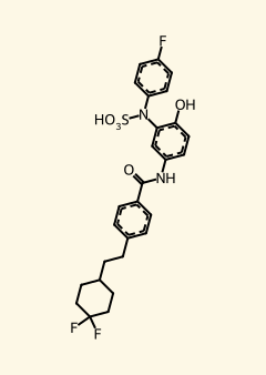 O=C(Nc1ccc(O)c(N(c2ccc(F)cc2)S(=O)(=O)O)c1)c1ccc(CCC2CCC(F)(F)CC2)cc1